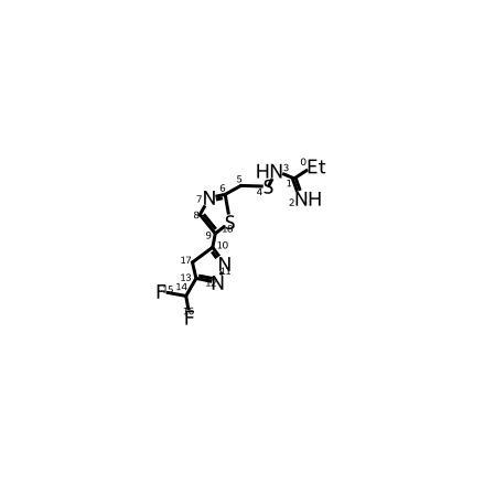 CCC(=N)NSCc1ncc(C2=NN=C(C(F)F)C2)s1